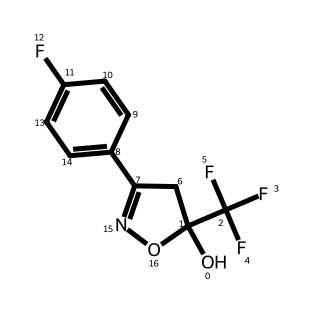 OC1(C(F)(F)F)CC(c2ccc(F)cc2)=NO1